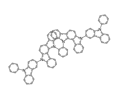 c1ccc(-n2c3ccccc3c3cc(-n4c5ccccc5c5c4ccc4c6ccccc6n(-c6ccccc6-n6c7ccccc7c7ccc8c(c9ccccc9n8-c8ccc9c(c8)c8ccccc8n9-c8ccccc8)c76)c45)ccc32)cc1